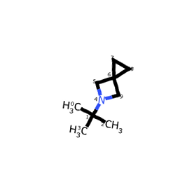 CC(C)(C)N1CC2(CC2)C1